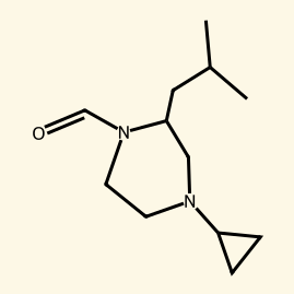 CC(C)CC1CN(C2CC2)CCN1C=O